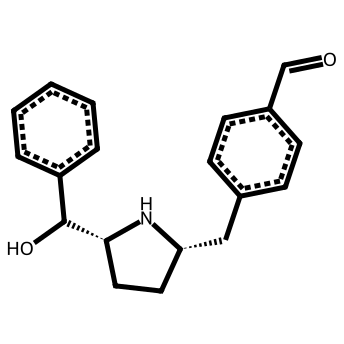 O=Cc1ccc(C[C@@H]2CC[C@H](C(O)c3ccccc3)N2)cc1